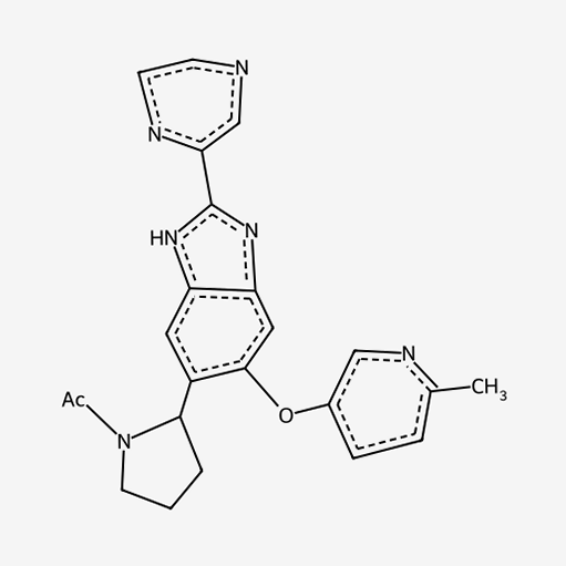 CC(=O)N1CCCC1c1cc2[nH]c(-c3cnccn3)nc2cc1Oc1ccc(C)nc1